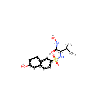 CC(C)[C@@H](NS(=O)(=O)c1ccc2cc(O)ccc2c1)C(=O)NO